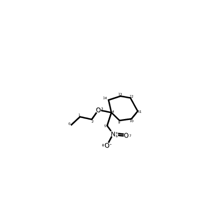 CCCOC1(C[N+](=O)[O-])CCCCCC1